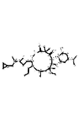 CCCN1C[C@H](C)C[C@@](C)(OC)[C@H](O[C@H]2C[C@@H](N(C)C)C[C@@H](C)O2)[C@@H](C)C(=O)C(C)(C)C(=O)OC[C@H]1[C@H]1C[C@H](N(C)CC2CC2)C1